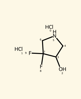 Cl.Cl.OC1CNCC1(F)F